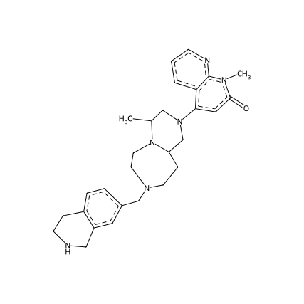 CC1CN(c2cc(=O)n(C)c3ncccc23)CC2CCN(Cc3ccc4c(c3)CNCC4)CCN12